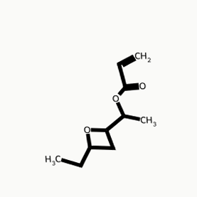 C=CC(=O)OC(C)C1CC(CC)O1